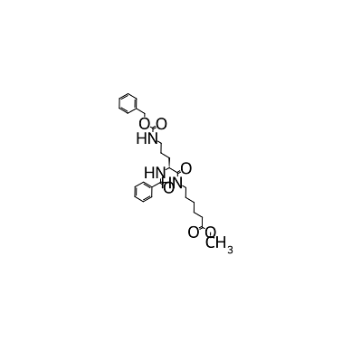 COC(=O)CCCCCNC(=O)[C@H](CCCNC(=O)OCc1ccccc1)NC(=O)c1ccccc1